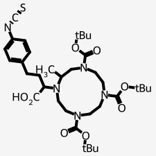 CC1CN(C(=O)OC(C)(C)C)CCN(C(=O)OC(C)(C)C)CCN(C(=O)OC(C)(C)C)CCN1C(CCc1ccc(N=C=S)cc1)C(=O)O